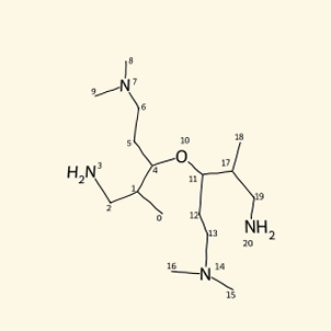 CC(CN)C(CCN(C)C)OC(CCN(C)C)C(C)CN